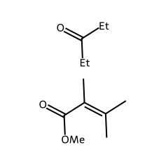 CCC(=O)CC.COC(=O)C(C)=C(C)C